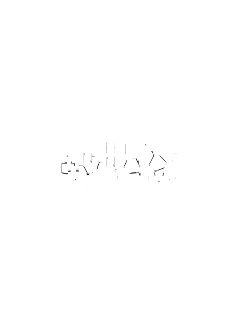 COc1cc(C(=O)Nc2cnc(-n3nccn3)c(Cl)c2)c(F)cc1-c1ccc(F)cc1N